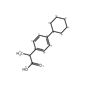 CC(C(=O)O)c1ccc(C2CCCCC2)cc1